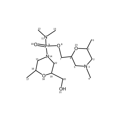 CC1CN(C)CC(COP(=O)(N(C)C)N2CC(C)OC(CO)C2)O1